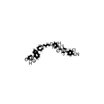 C[C@@H]1CN(C(=O)Nc2ccc(OCCCCN3CCC(n4ccc5c(N6CCC(=O)NC6=O)cccc54)CC3)nc2)[C@@H](C)CN1c1ccc(C#N)c(Cl)c1